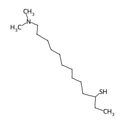 CCC(S)CCCCCCCCCCN(C)C